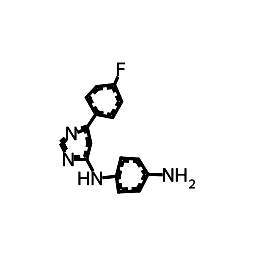 Nc1ccc(Nc2cc(-c3ccc(F)cc3)ncn2)cc1